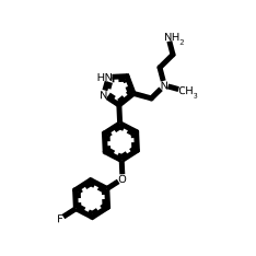 CN(CCN)Cc1c[nH]nc1-c1ccc(Oc2ccc(F)cc2)cc1